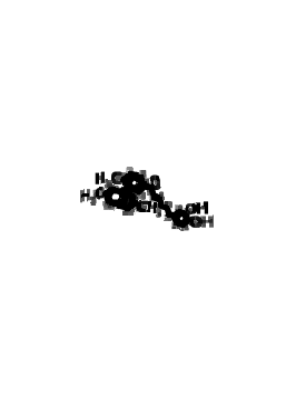 Cc1ccc(C(=O)CCCCCc2ccc(O)c(O)c2)cc1C12CC(C)CC(C[C@H](C)C1)C2